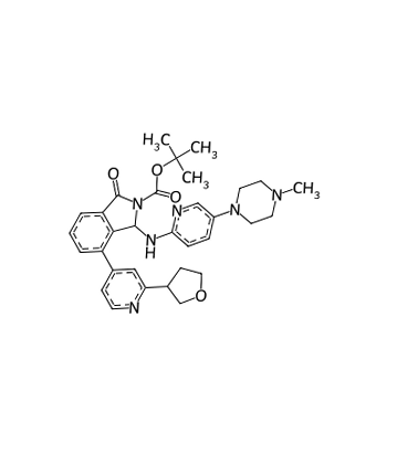 CN1CCN(c2ccc(NC3c4c(cccc4-c4ccnc(C5CCOC5)c4)C(=O)N3C(=O)OC(C)(C)C)nc2)CC1